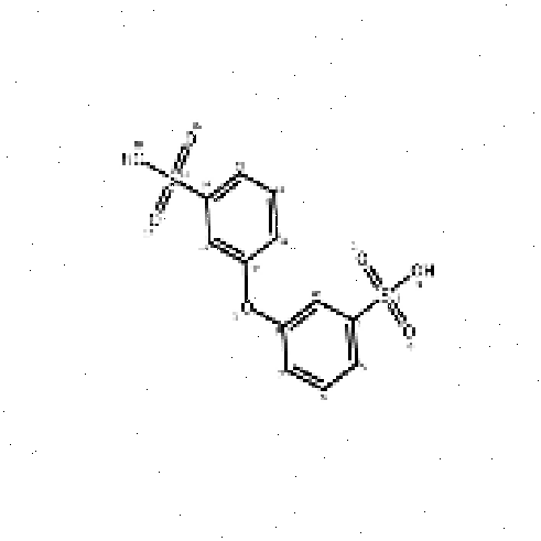 O=S(=O)(O)c1cccc(Oc2cccc(S(=O)(=O)O)c2)c1